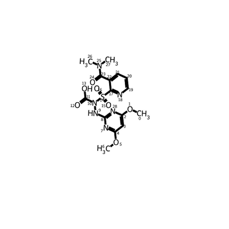 COc1cc(OC)nc(NN(C(=O)O)S(=O)(=O)c2ncccc2C(=O)N(C)C)n1